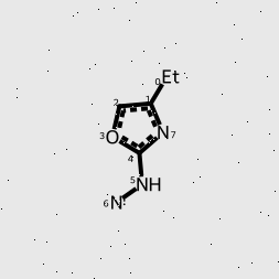 CCc1coc(N[N])n1